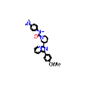 COc1ccc(-c2nc([C@@H]3CCCN(C(=O)Nc4ccc(N(C)C)cc4)C3)n3ccccc23)cc1